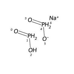 O=[PH2]O.O=[PH2][O-].[Na+]